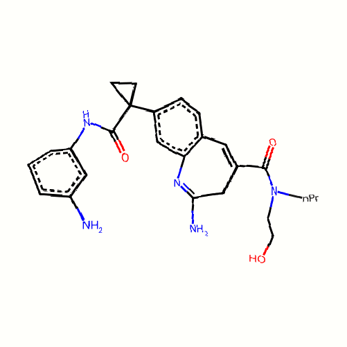 CCCN(CCO)C(=O)C1=Cc2ccc(C3(C(=O)Nc4cccc(N)c4)CC3)cc2N=C(N)C1